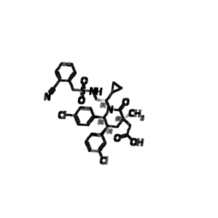 C[C@]1(CC(=O)O)C[C@@H](c2cccc(Cl)c2)[C@@H](c2ccc(Cl)cc2)N([C@H](CNS(=O)(=O)Cc2ccccc2C#N)C2CC2)C1=O